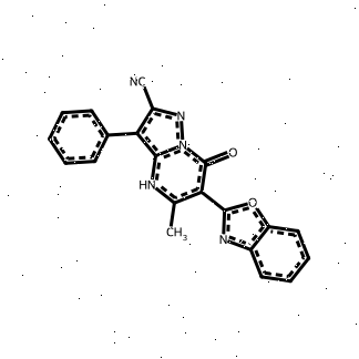 Cc1[nH]c2c(-c3ccccc3)c(C#N)nn2c(=O)c1-c1nc2ccccc2o1